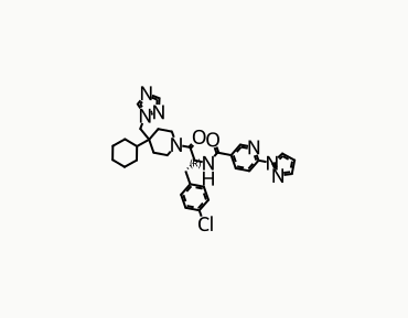 O=C(N[C@H](Cc1ccc(Cl)cc1)C(=O)N1CCC(Cn2cncn2)(C2CCCCC2)CC1)c1ccc(-n2cccn2)nc1